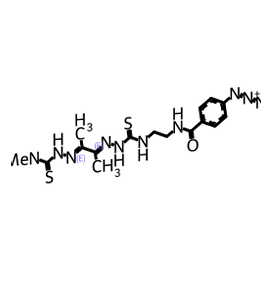 CNC(=S)N/N=C(C)/C(C)=N/NC(=S)NCCNC(=O)c1ccc(N=[N+]=[N-])cc1